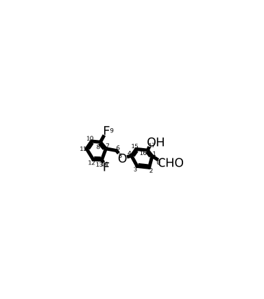 O=Cc1ccc(OCc2c(F)cccc2F)cc1O